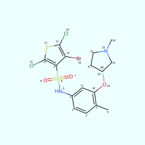 Cc1ccc(NS(=O)(=O)c2c(Cl)sc(Cl)c2Br)cc1O[C@@H]1CCN(C)C1